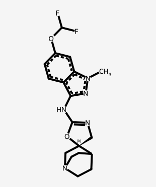 Cn1nc(NC2=NC[C@@]3(CN4CCC3CC4)O2)c2ccc(OC(F)F)cc21